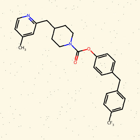 Cc1ccnc(CC2CCN(C(=O)Oc3ccc(Cc4ccc(C(F)(F)F)cc4)cc3)CC2)c1